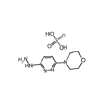 NNc1ccc(N2CCOCC2)nn1.O=S(=O)(O)O